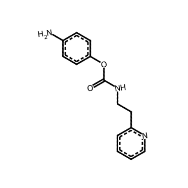 Nc1ccc(OC(=O)NCCc2ccccn2)cc1